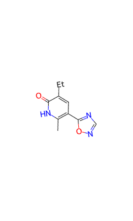 CCc1cc(-c2ncno2)c(C)[nH]c1=O